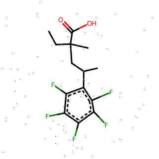 CCC(C)(CC(C)c1c(F)c(F)c(F)c(F)c1F)C(=O)O